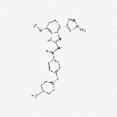 COc1ccc(-c2cnn(C)c2)c2nc(NC(=O)c3ccc(CN4CCN(C)CC4)cc3)[nH]c12